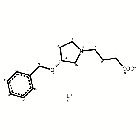 O=C([O-])CCCN1CC[C@@H](OCc2ccccc2)C1.[Li+]